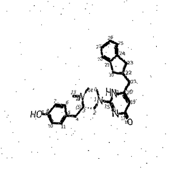 CN(C[C@H](Cc1ccc(O)cc1)N(C)C)c1nc(=O)cc(CC2Cc3ccccc3C2)[nH]1